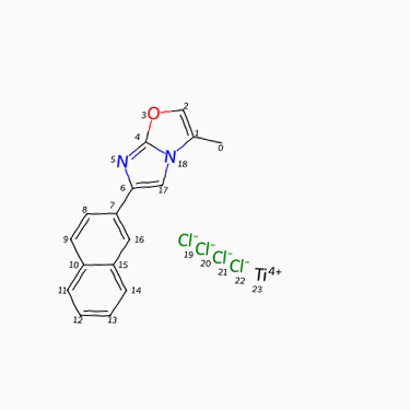 Cc1coc2nc(-c3ccc4ccccc4c3)cn12.[Cl-].[Cl-].[Cl-].[Cl-].[Ti+4]